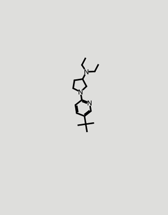 CCN(CC)C1CCN(c2ccc(C(C)(C)C)cn2)C1